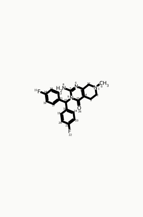 CN1CCc2c(nc(N)n(C(c3ccc(F)cc3)c3ccc(F)cc3)c2=O)C1